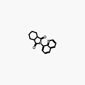 O=C1C2CCCCC2C(=O)N1c1cccc2cccnc12